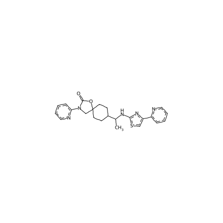 CC(Nc1nc(-c2ccccn2)cs1)C1CCC2(CC1)CN(c1ccccn1)C(=O)O2